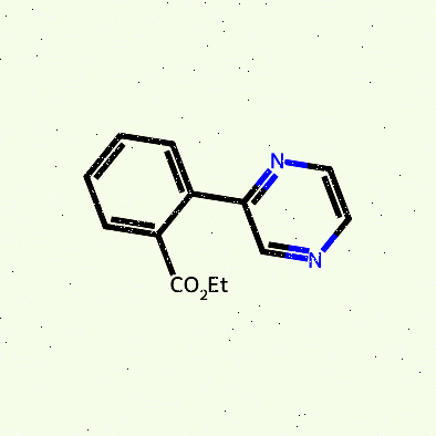 CCOC(=O)c1ccccc1-c1cnccn1